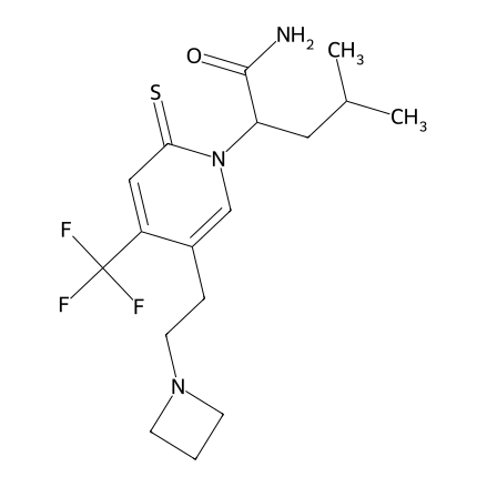 CC(C)CC(C(N)=O)n1cc(CCN2CCC2)c(C(F)(F)F)cc1=S